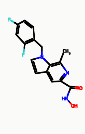 Cc1nc(C(=O)NO)cc2ccn(Cc3ccc(F)cc3F)c12